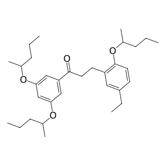 CCCC(C)Oc1cc(OC(C)CCC)cc(C(=O)CCc2cc(CC)ccc2OC(C)CCC)c1